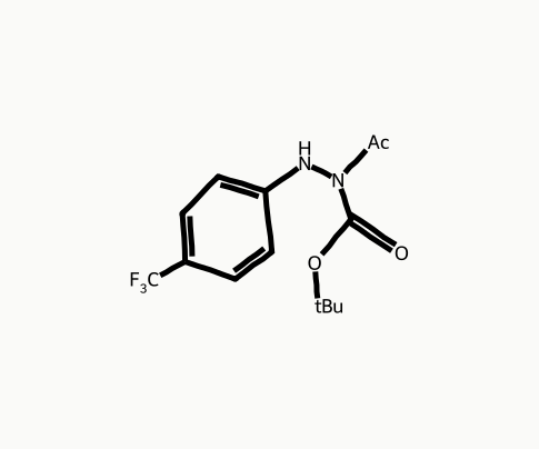 CC(=O)N(Nc1ccc(C(F)(F)F)cc1)C(=O)OC(C)(C)C